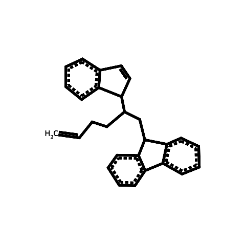 C=CCCC(CC1c2ccccc2-c2ccccc21)C1C=Cc2ccccc21